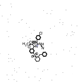 CC1(C)Oc2ccc(S(=O)(=O)N3CCCCC3Cc3ccccc3)cc2C(/N=C(/NC#N)Nc2ccc(Cl)cc2)C1O